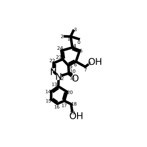 CC(C)(C)c1cc(CO)c2c(=O)n(-c3cccc(CO)c3)ncc2c1